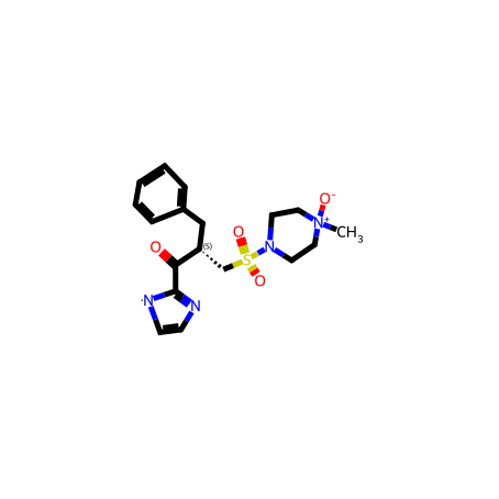 C[N+]1([O-])CCN(S(=O)(=O)C[C@@H](Cc2ccccc2)C(=O)C2=NC=C[N]2)CC1